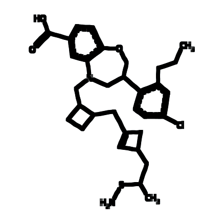 CCCc1cc(Cl)ccc1C1COc2ccc(C(=O)O)cc2N(CC2CCC2CC2=CC(CC(C)SN)C2)C1